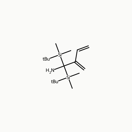 C=CC(=C)C(N)([Si](C)(C)C(C)(C)C)[Si](C)(C)C(C)(C)C